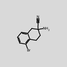 N#CC1(N)CCc2c(Br)cccc2C1